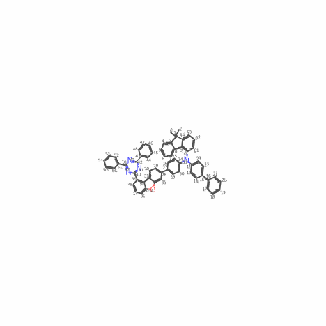 CC1(C)c2ccccc2-c2c(N(c3ccc(-c4ccccc4)cc3)c3ccc(-c4ccc5c(c4)oc4cccc(-c6nc(-c7ccccc7)nc(-c7ccccc7)n6)c45)cc3)cccc21